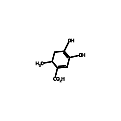 CC1CC(O)=C(O)C=C1C(=O)O